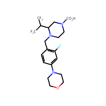 O=C(O)N1CCN(Cc2ccc(N3CCOCC3)cc2F)C(C(C(F)(F)F)C(F)(F)F)C1